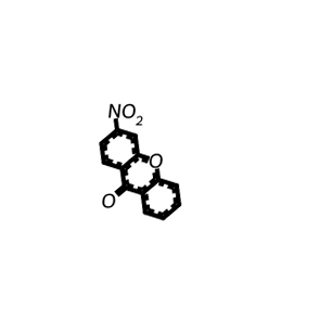 O=c1c2ccccc2oc2cc([N+](=O)[O-])ccc12